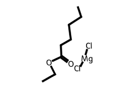 CCCCCC(=O)OCC.[Cl][Mg][Cl]